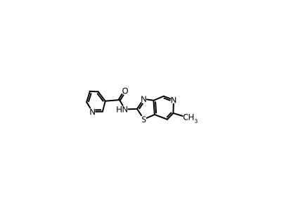 Cc1cc2sc(NC(=O)c3cccnc3)nc2cn1